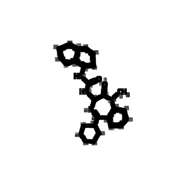 CN1C(=O)C(NC(=O)Nc2cccc3ccccc23)N=C(C2CCCCC2)c2ccccc21